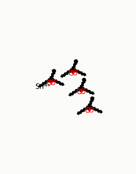 CCCCCCCCC(CCCCCCCC)(CCCCC(C)(C)C)C(=O)[O-].CCCCCCCCC(CCCCCCCC)(CCCCC(C)(C)C)C(=O)[O-].CCCCCCCCC(CCCCCCCC)(CCCCC(C)(C)C)C(=O)[O-].CCCCCCCCC(CCCCCCCC)(CCCCC(C)(C)C)C(=O)[O-].[Sn+4]